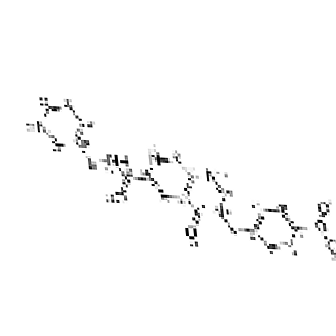 O=C(O)c1ccc(Cn2cnc3cnc(C(=O)NCc4cccnc4)cc3c2=O)cc1